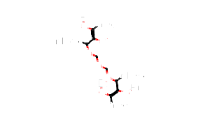 CCCCCCCCCCC(OCC)=C(OCC)C(CCCCCC)OCOCOC(CCCCCC)C(OCC)=C(CCCCCCCCCC)OCC